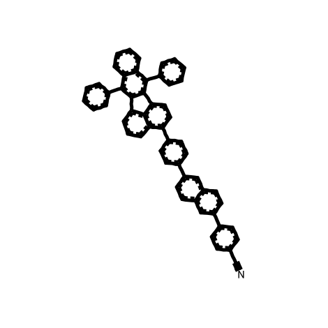 N#Cc1ccc(-c2ccc3cc(-c4ccc(-c5ccc6c7c(cccc57)-c5c-6c(-c6ccccc6)c6ccccc6c5-c5ccccc5)cc4)ccc3c2)cc1